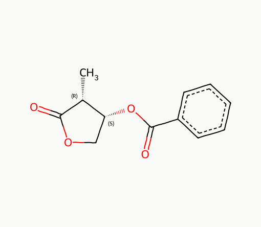 C[C@H]1C(=O)OC[C@H]1OC(=O)c1ccccc1